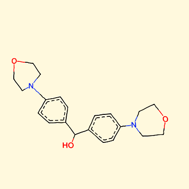 OC(c1ccc(N2CCOCC2)cc1)c1ccc(N2CCOCC2)cc1